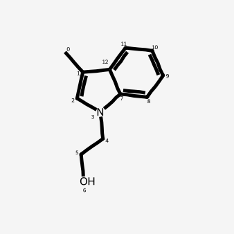 Cc1cn(CCO)c2c[c]ccc12